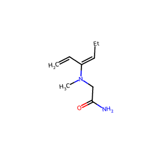 C=C/C(=C\CC)N(C)CC(N)=O